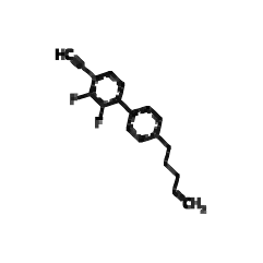 C#Cc1ccc(-c2ccc(CCCC=C)cc2)c(F)c1F